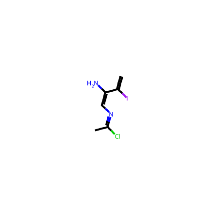 C=C(I)/C(N)=C\N=C(/C)Cl